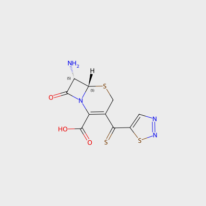 N[C@H]1C(=O)N2C(C(=O)O)=C(C(=S)c3cnns3)CS[C@@H]12